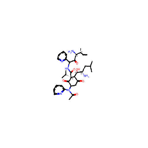 CC[C@H](C)[C@H](N)C(=O)C(NC(=O)[C@]1(C(C)C)C(=O)C(N(C(C)=O)c2ccccn2)CC(=O)C1[C@H](O)[C@@H](N)CC(C)C)c1ccccn1